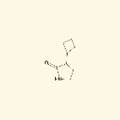 O=C1NCCC1C1CCC1